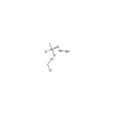 C[As](=O)([O-])[O-].ClCCl.[Na+].[Na+]